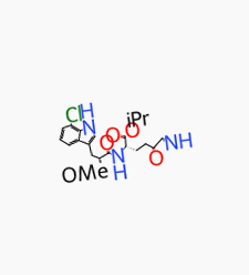 CO[C@@H](Cc1c[nH]c2c(Cl)cccc12)C(=O)N[C@@H](CCC(=O)C=N)C(=O)OC(C)C